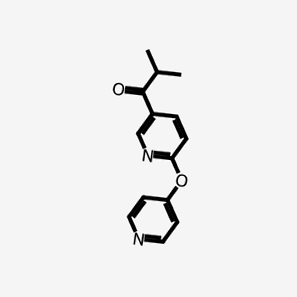 CC(C)C(=O)c1ccc(Oc2ccncc2)nc1